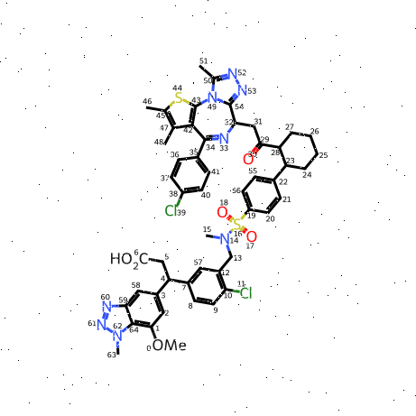 COc1cc(C(CC(=O)O)c2ccc(Cl)c(CN(C)S(=O)(=O)c3ccc(C4CCCCC4C(=O)CC4N=C(c5ccc(Cl)cc5)c5c(sc(C)c5C)-n5c(C)nnc54)cc3)c2)cc2nnn(C)c12